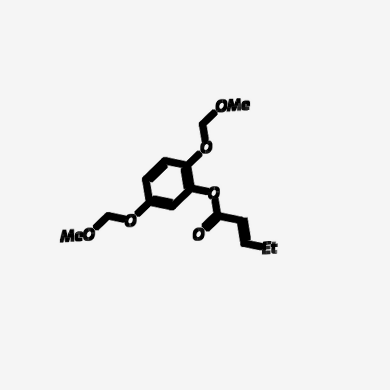 CCC=CC(=O)Oc1cc(OCOC)ccc1OCOC